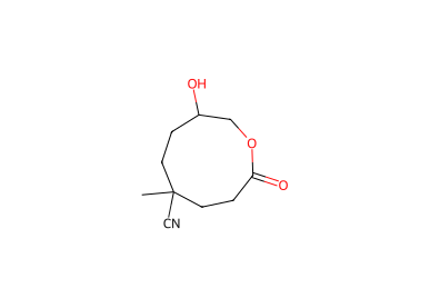 CC1(C#N)CCC(=O)OCC(O)CC1